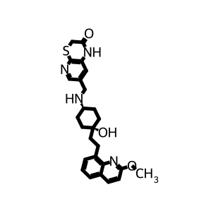 COc1ccc2cccc(CC[C@]3(O)CC[C@@H](NCc4cnc5c(c4)NC(=O)CS5)CC3)c2n1